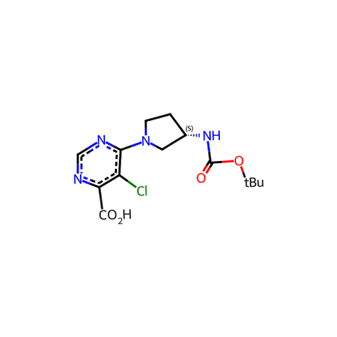 CC(C)(C)OC(=O)N[C@H]1CCN(c2ncnc(C(=O)O)c2Cl)C1